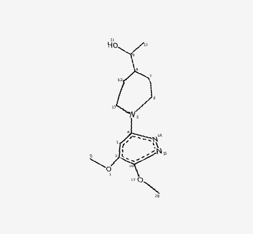 COc1cc(N2CCC(C(C)O)CC2)nnc1OC